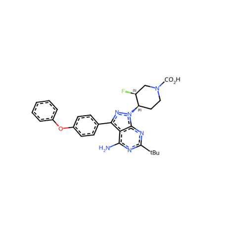 CC(C)(C)c1nc(N)c2c(-c3ccc(Oc4ccccc4)cc3)nn([C@@H]3CCN(C(=O)O)C[C@@H]3F)c2n1